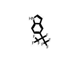 FC(F)(F)C(F)(c1ccc2[nH]ccc2c1)C(F)(F)F